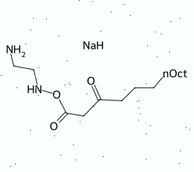 CCCCCCCCCCCC(=O)CC(=O)ONCCN.[NaH]